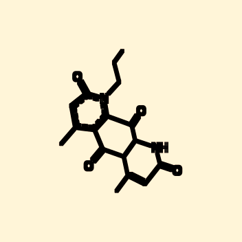 CCCn1c2c(c(C)cc1=O)C(=O)C1C(C)=CC(=O)NC1C2=O